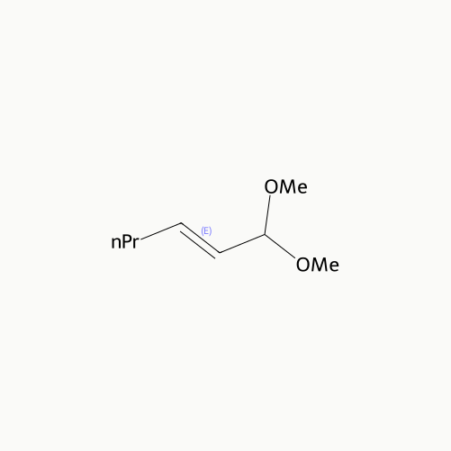 CCC/C=C/C(OC)OC